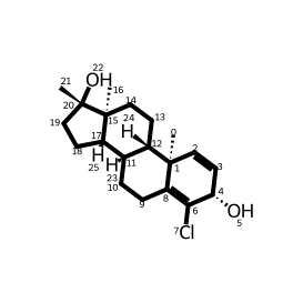 C[C@]12C=C[C@H](O)C(Cl)=C1CC[C@@H]1[C@@H]2CC[C@@]2(C)[C@H]1CC[C@]2(C)O